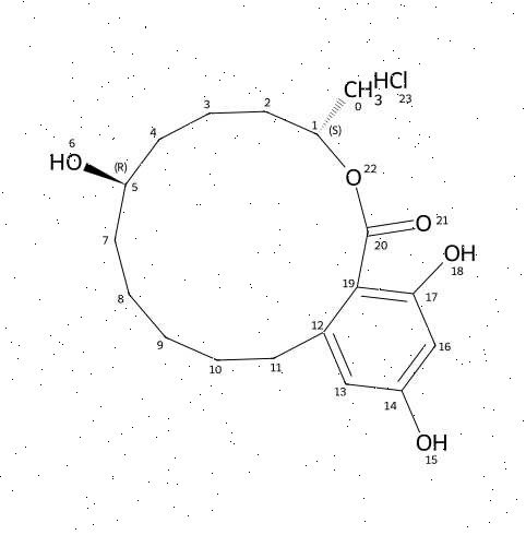 C[C@H]1CCC[C@H](O)CCCCCc2cc(O)cc(O)c2C(=O)O1.Cl